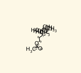 CC(=O)O.CC(=O)O.CC(=O)O.CCCCOC(C)=O